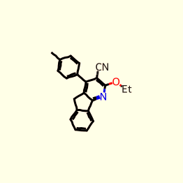 CCOc1nc2c(c(-c3ccc(C)cc3)c1C#N)Cc1ccccc1-2